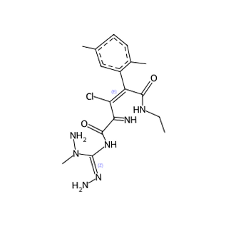 CCNC(=O)/C(=C(/Cl)C(=N)C(=O)N/C(=N/N)N(C)N)c1cc(C)ccc1C